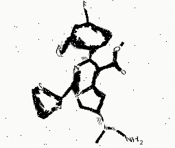 COC(=O)C1=C2C[C@H](N(C)SN)CN2C(c2nccs2)=N[C@H]1c1ccc(F)cc1Cl